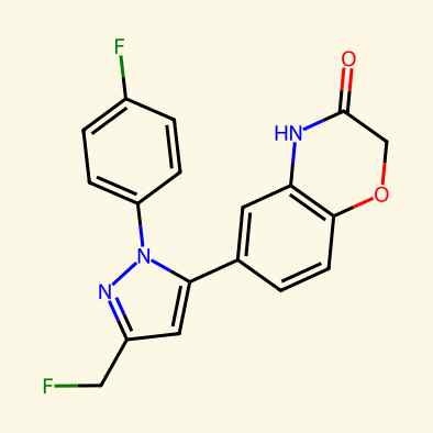 O=C1COc2ccc(-c3cc(CF)nn3-c3ccc(F)cc3)cc2N1